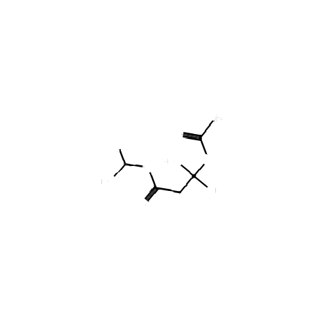 CCC(C)C(=O)OC(C)(C)CC(=O)OC(C)C(F)(F)F